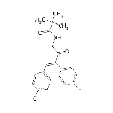 CC(C)(C)C(=O)NCC(=O)/C(=C/c1ccc(Cl)cc1)c1ccc(F)cc1